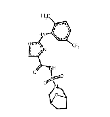 Cc1ccc(C(F)(F)F)cc1Nc1nc(C(=O)NS(=O)(=O)N2CC3CCC(C2)O3)co1